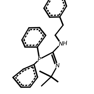 CC(C)(C)/N=C(/NCCc1ccccc1)P(c1ccccc1)c1ccccc1